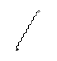 SCCCCCCCCCCCCCCCCCS